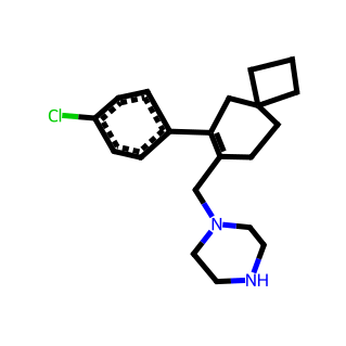 Clc1ccc(C2=C(CN3CCNCC3)CCC3(CCC3)C2)cc1